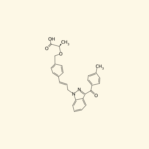 Cc1ccc(C(=O)c2nn(CC=Cc3ccc(CO[C@H](C)C(=O)O)cc3)c3ccccc23)cc1